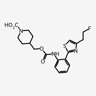 O=C(Nc1ccccc1-c1nc(CCF)cs1)OCC1CCN(C(=O)O)CC1